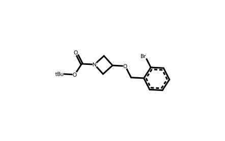 CC(C)(C)OC(=O)N1CC(OCc2ccccc2Br)C1